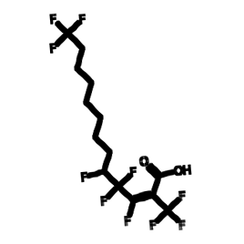 O=C(O)C(=C(F)C(F)(F)C(F)CCCCCCCC(F)(F)F)C(F)(F)F